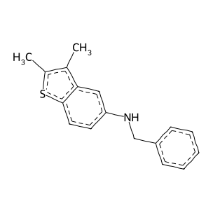 Cc1sc2ccc(NCc3ccccc3)cc2c1C